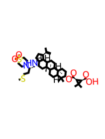 C=C(C)[C@@H]1CC[C@]2(NC[C@H](CCSC)N3CCS(=O)(=O)CC3)CC[C@]3(C)[C@H](CC[C@@H]4[C@@]5(C)CC[C@H](OC(=O)[C@H]6[C@@H](C(=O)O)C6(C)C)C(C)(C)[C@@H]5CC[C@]43C)[C@@H]12